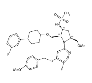 COC[C@@H]1C[C@H](NS(C)(=O)=O)[C@H](CO[C@H]2CC[C@@H](c3cccc(F)c3)CC2)N1c1cc(OCc2ccc(OC)cc2)c(F)cn1